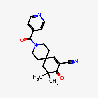 CC1(C)CC2(C=C(C#N)C1=O)CCN(C(=O)c1ccncc1)CC2